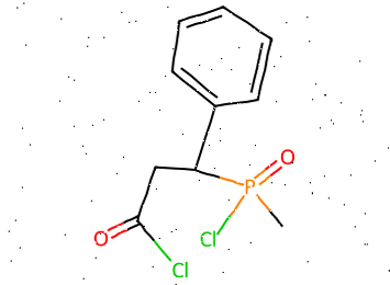 CP(=O)(Cl)C(CC(=O)Cl)c1ccccc1